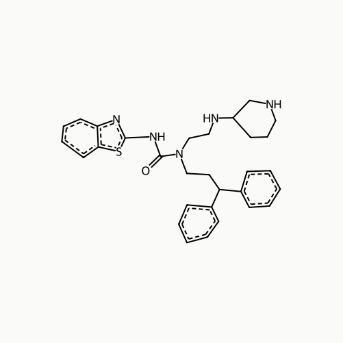 O=C(Nc1nc2ccccc2s1)N(CCNC1CCCNC1)CCC(c1ccccc1)c1ccccc1